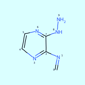 C=Nc1nccnc1NN